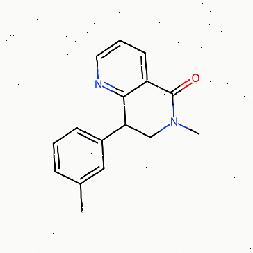 Cc1cccc(C2CN(C)C(=O)c3cccnc32)c1